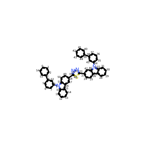 c1ccc(-c2cccc(-n3c4ccccc4c4cc(-c5nnc(-c6ccc7c8ccccc8n(-c8cccc(-c9ccccc9)c8)c7c6)s5)ccc43)c2)cc1